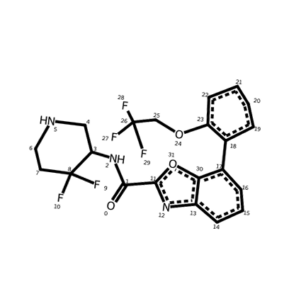 O=C(NC1CNCCC1(F)F)c1nc2cccc(-c3ccccc3OCC(F)(F)F)c2o1